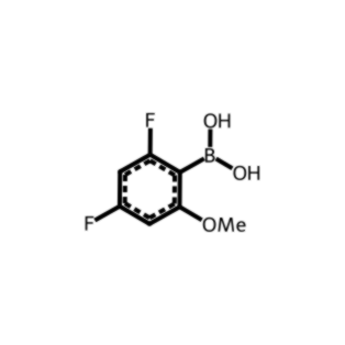 COc1cc(F)cc(F)c1B(O)O